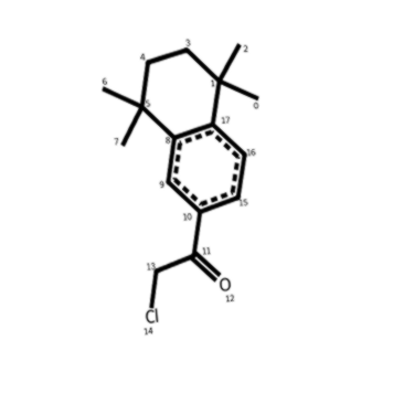 CC1(C)CCC(C)(C)c2cc(C(=O)CCl)ccc21